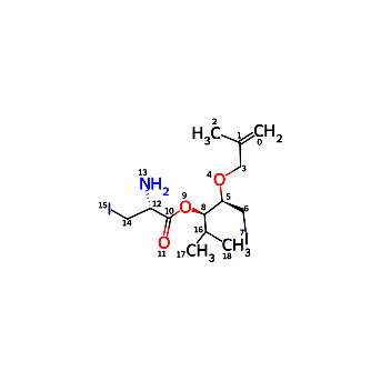 C=C(C)CO[C@@H](CI)[C@H](OC(=O)[C@@H](N)CI)C(C)C